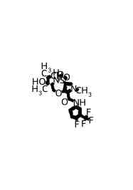 C=C(C)C(C)(O)[C@H]1COc2c(cn(C)c2C(=O)Nc2ccc(F)c(C(F)(F)F)c2)S(=O)(=O)N1